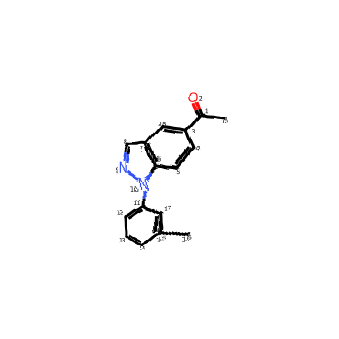 CC(=O)c1ccc2c(cnn2-c2cccc(C)c2)c1